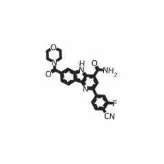 N#Cc1ccc(-c2cc(C(N)=O)c3[nH]c4cc(C(=O)N5CCOCC5)ccc4c3n2)cc1F